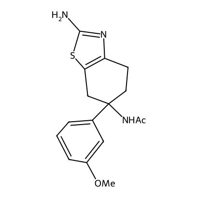 COc1cccc(C2(NC(C)=O)CCc3nc(N)sc3C2)c1